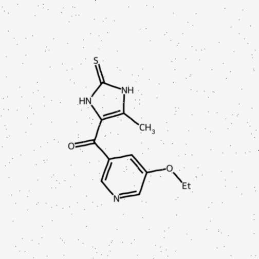 CCOc1cncc(C(=O)c2[nH]c(=S)[nH]c2C)c1